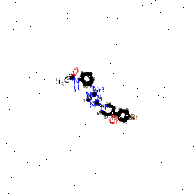 CC(=O)Nc1cccc(Nc2ncnc(N3CCC(O)(c4ccc(Br)cc4)CC3)n2)c1